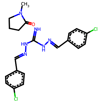 CN1CCCC1=O.N=C(N/N=C/c1ccc(Cl)cc1)N/N=C/c1ccc(Cl)cc1